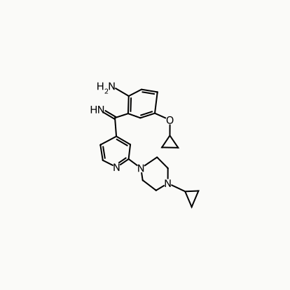 N=C(c1ccnc(N2CCN(C3CC3)CC2)c1)c1cc(OC2CC2)ccc1N